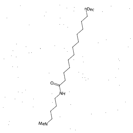 CCCCCCCCCCCCCCCCCCCCCC(=O)NCCCCNC